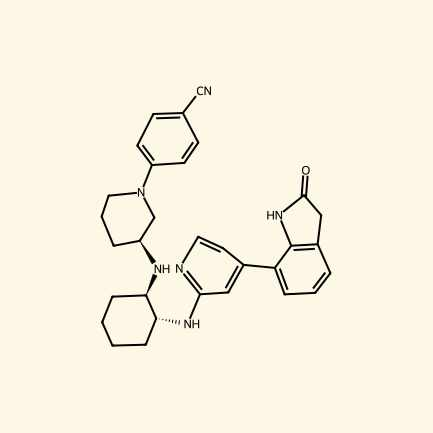 N#Cc1ccc(N2CCC[C@H](N[C@@H]3CCCC[C@H]3Nc3cc(-c4cccc5c4NC(=O)C5)ccn3)C2)cc1